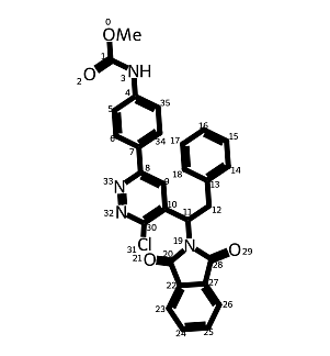 COC(=O)Nc1ccc(-c2cc(C(Cc3ccccc3)N3C(=O)c4ccccc4C3=O)c(Cl)nn2)cc1